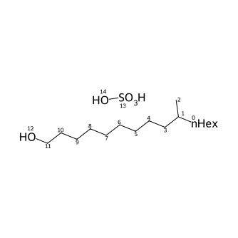 CCCCCCC(C)CCCCCCCCCO.O=S(=O)(O)O